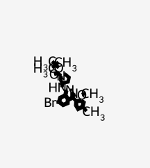 COc1cc(C)ccc1-c1nnc(NC2CCCN(C(=O)OC(C)(C)C)C2)c2cc(Br)ccc12